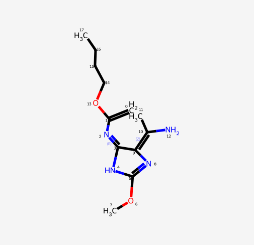 C=C(/N=C1/NC(OC)=N/C1=C(/C)N)OCCCC